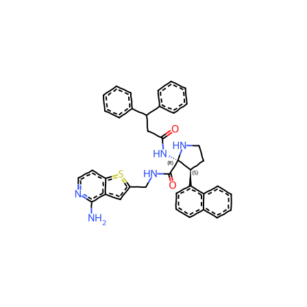 Nc1nccc2sc(CNC(=O)[C@@]3(NC(=O)CC(c4ccccc4)c4ccccc4)NCC[C@H]3c3cccc4ccccc34)cc12